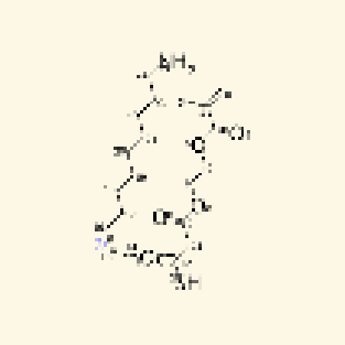 C=C(C)C(=O)OCCOC(=O)CCS.CCCCCCCC/C=C\CCCCCCCCN